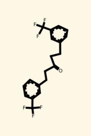 O=C(CCc1cccc(C(F)(F)F)c1)CCc1cccc(C(F)(F)F)c1